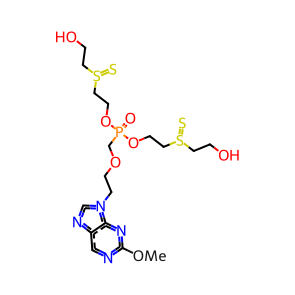 COc1ncc2ncn(CCOCP(=O)(OCCS(=S)CCO)OCCS(=S)CCO)c2n1